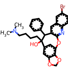 CN(C)CCCCC1(O)c2cc3c(c(c2)Oc2nc4ccc(Br)cc4cc2C1c1ccccc1)OCO3